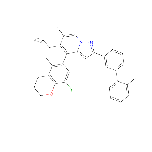 Cc1ccccc1-c1cccc(-c2cc3c(-c4cc(F)c5c(c4C)CCCO5)c(CC(=O)O)c(C)cn3n2)c1